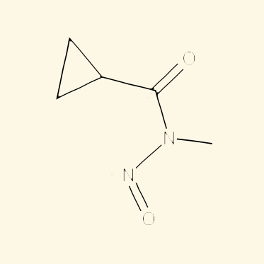 CN(N=O)C(=O)C1CC1